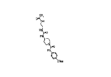 COc1ccc(NC(=O)N2CCC(NC(=O)NCCNC(=O)C(F)(F)F)CC2)cc1